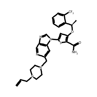 C=CCN1CCN(Cc2cc3c(cn2)ncn3-c2cc(O[C@H](C)c3ccccc3C(F)(F)F)c(C(N)=O)s2)CC1